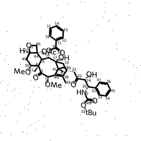 CO[C@H]1C(=O)[C@@]2(C)C([C@H](OC(=O)c3ccccc3)[C@]3(O)C[C@H](CC(=O)[C@H](O)[C@@H](NC(=O)OC(C)(C)C)c4ccccc4)C(C)=C1C3(C)C)[C@]1(OC(C)=O)CO[C@@H]1C[C@@H]2OC